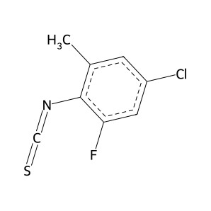 Cc1cc(Cl)cc(F)c1N=C=S